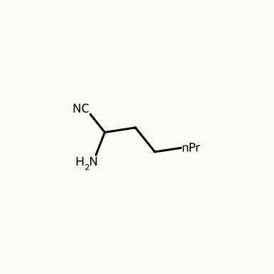 CCCCCC(N)C#N